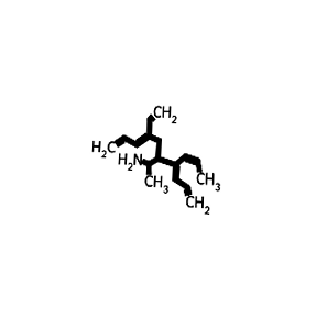 C=C/C=C(\C=C)CC(C(/C=C\C)=C/C=C)C(C)N